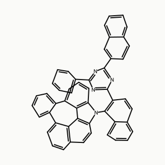 c1ccc(-c2nc(-c3ccc4ccccc4c3)nc(-c3ccc4ccccc4c3-n3c4cccc5c4c4c6c(cccc6ccc43)-c3ccccc3-5)n2)cc1